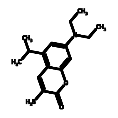 Bc1cc2c(C(C)C)cc(N(CC)CC)cc2oc1=O